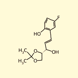 CC1(C)OC[C@@H](C(O)/C=C/c2cc(F)ccc2O)O1